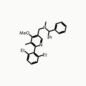 CCc1cccc(CC)c1-c1ncc(CN(C)C(c2ccccc2)C(C)C)c(OC)c1C